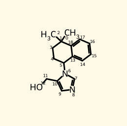 CC1(C)CCC(n2cncc2CO)c2ccccc21